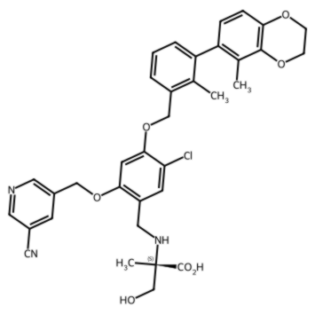 Cc1c(COc2cc(OCc3cncc(C#N)c3)c(CN[C@@](C)(CO)C(=O)O)cc2Cl)cccc1-c1ccc2c(c1C)OCCO2